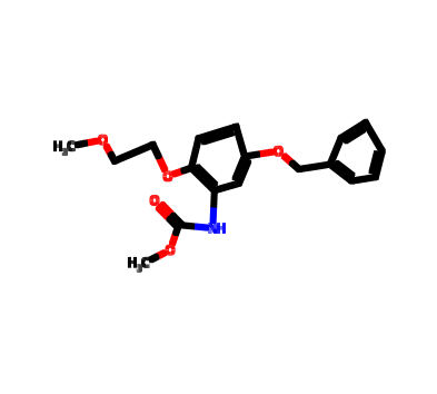 COCCOc1ccc(OCc2ccccc2)cc1NC(=O)OC